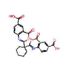 O=C(O)c1ccc2nc(C3(c4nc5ccc(C(=O)O)cc5c(=O)o4)CCCCC3)oc(=O)c2c1